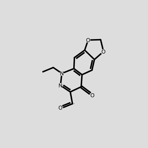 CCn1nc([C]=O)c(=O)c2cc3c(cc21)OCO3